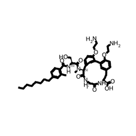 CCCCCCCCc1ccc(C(=O)N[C@@H](CO)C(=O)N(C)[C@@H]2C(=O)N[C@@H](C)C(=O)N[C@H](C(=O)O)Cc3ccc(OCCN)c(c3)-c3cc2ccc3OCCN)c(C)c1